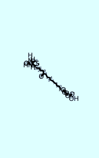 O=C(CCCCCCCCCCOOOOC(=O)O)CCCC[C@@H]1SC[C@@H]2NC(=O)N[C@@H]21